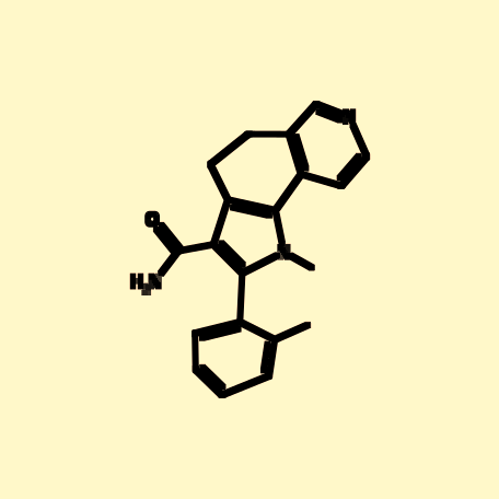 Cc1ccccc1-c1c(C(N)=O)c2c(n1C)-c1ccncc1CC2